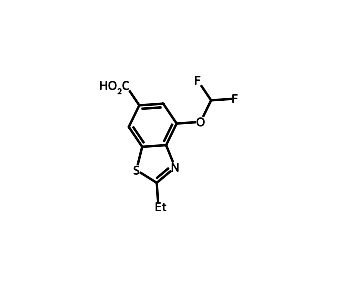 CCc1nc2c(OC(F)F)cc(C(=O)O)cc2s1